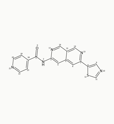 O=C(Nc1cc2cc(-c3cncs3)ncc2cn1)c1ccncc1